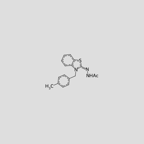 CC(=O)NN=c1sc2ccccc2n1Cc1ccc(C)cc1